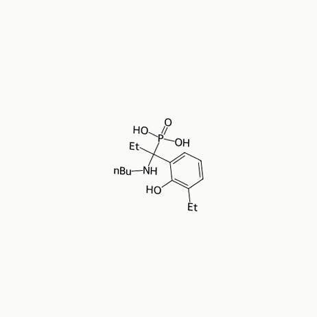 CCCCNC(CC)(c1cccc(CC)c1O)P(=O)(O)O